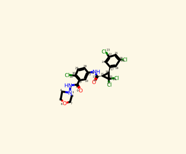 O=C(NN1CCOCC1)c1cc(NC(=O)[C@@H]2[C@@H](c3cc(Cl)cc(Cl)c3)C2(Cl)Cl)ccc1Cl